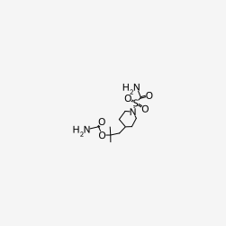 CC(C)(CC1CCN(S(=O)(=O)C(N)=O)CC1)OC(N)=O